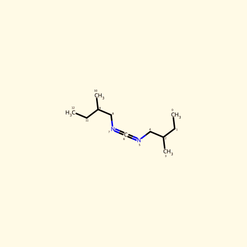 CCC(C)CN=C=NCC(C)CC